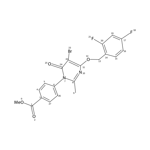 COC(=O)c1ccc(-n2c(C)nc(OCc3ccc(F)cc3F)c(Br)c2=O)cc1